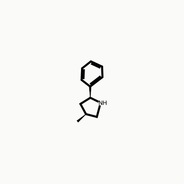 C[C@@H]1CN[C@H](c2ccccc2)C1